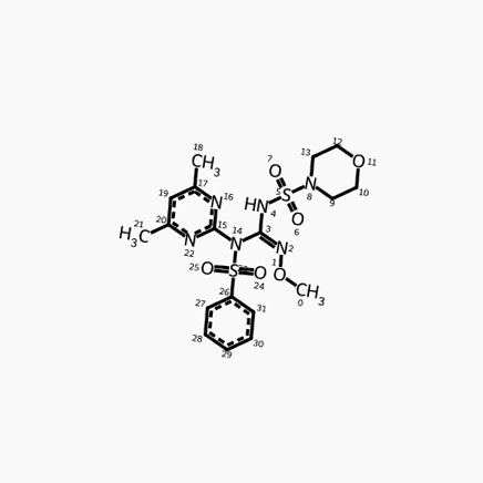 CON=C(NS(=O)(=O)N1CCOCC1)N(c1nc(C)cc(C)n1)S(=O)(=O)c1ccccc1